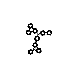 c1ccc(-n2c3ccccc3c3cc(-c4ccc(N(c5ccc6c(c5)oc5ccccc56)c5ccc6c7ccccc7c7ccccc7c6c5)cc4)ccc32)cc1